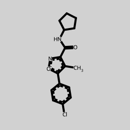 Cc1c(C(=O)NC2CCCC2)noc1-c1ccc(Cl)cc1